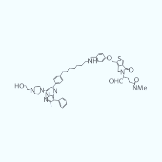 CNC(=O)CCC(C=O)N1Cc2c(csc2COc2ccc(CNCCCCCCCc3ccc(-c4cc(N5CCN(CCO)CC5)n5nc(C)c(-c6ccccc6)c5n4)cc3)cc2)C1=O